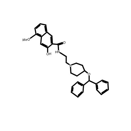 COc1cccc2cc(C(=O)NCCN3CCC(OC(c4ccccc4)c4ccccc4)CC3)c(O)cc12